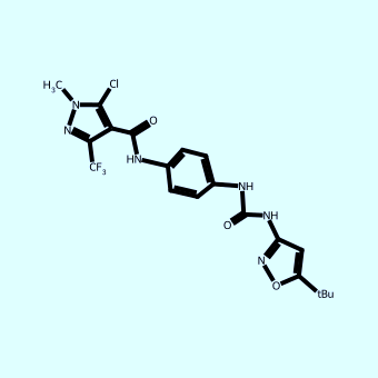 Cn1nc(C(F)(F)F)c(C(=O)Nc2ccc(NC(=O)Nc3cc(C(C)(C)C)on3)cc2)c1Cl